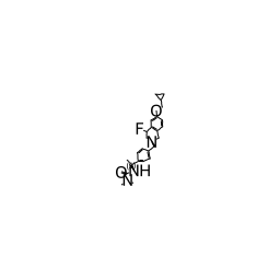 C[C@H](NC(=O)N(C)C)c1ccc(CN2Cc3ccc(OCC4CC4)cc3C(F)C2)cc1